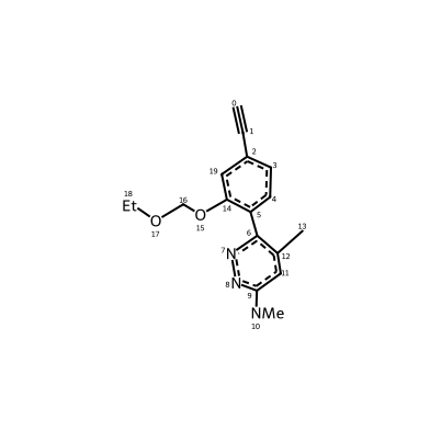 C#Cc1ccc(-c2nnc(NC)cc2C)c(OCOCC)c1